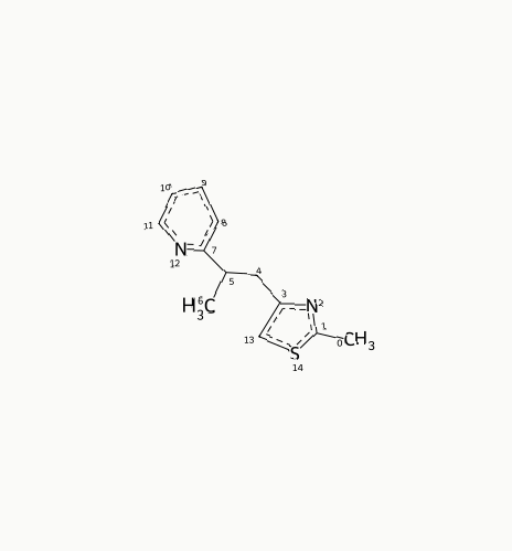 Cc1nc(CC(C)c2ccccn2)cs1